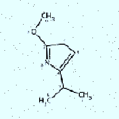 COC1=NC(C(C)C)=CC1